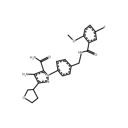 COc1ccc(F)cc1C(=O)NCc1ccc(-n2nc(C3CCOC3)c(N)c2C(N)=O)cc1